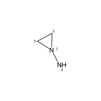 [NH]N1CC1